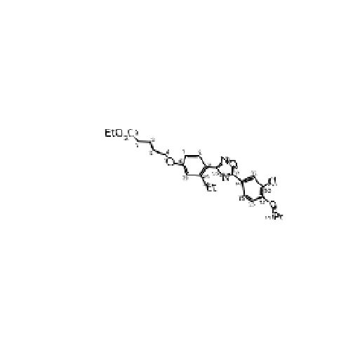 CCOC(=O)CCCCOc1ccc(-c2noc(-c3ccc(OC(C)C)c(Cl)c3)n2)c(CC)c1